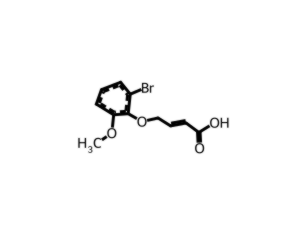 COc1cccc(Br)c1OC/C=C/C(=O)O